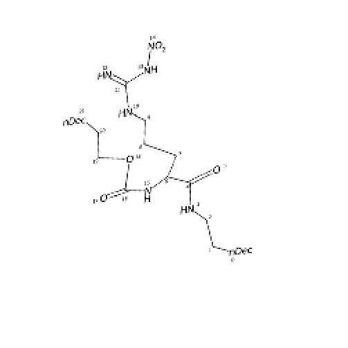 CCCCCCCCCCCCNC(=O)C(CCCNC(=N)N[N+](=O)[O-])NC(=O)OCCCCCCCCCCCC